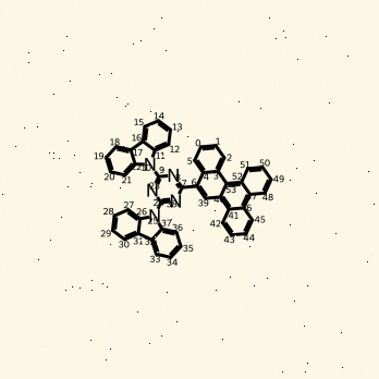 c1ccc2c(c1)c(-c1nc(-n3c4ccccc4c4ccccc43)nc(-n3c4ccccc4c4ccccc43)n1)cc1c3ccccc3c3ccccc3c21